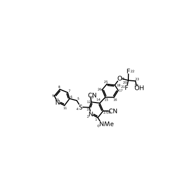 CNc1nc(SCc2cccnc2)c(C#N)c(-c2ccc(OC(F)(F)CO)cc2)c1C#N